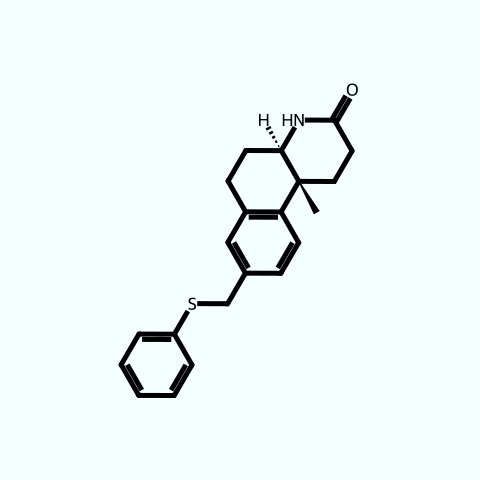 C[C@]12CCC(=O)N[C@@H]1CCc1cc(CSc3ccccc3)ccc12